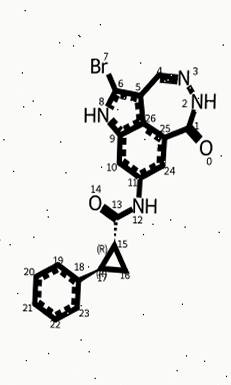 O=C1NN=Cc2c(Br)[nH]c3cc(NC(=O)[C@@H]4C[C@H]4c4ccccc4)cc1c23